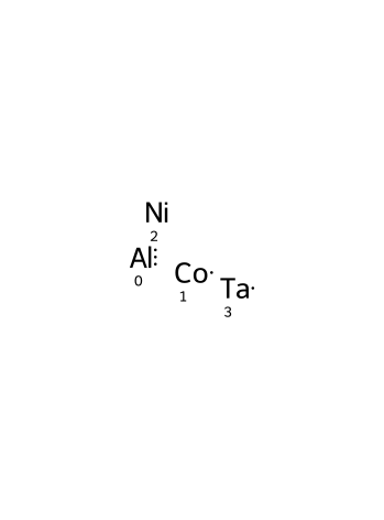 [Al].[Co].[Ni].[Ta]